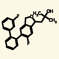 CC(C)(O)CC1OCc2cc(-c3ccccc3-c3cccc(F)c3)c(F)cc21